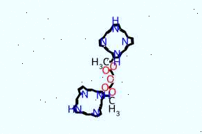 CC(OC(=O)COCC(=O)OC(C)c1cc2cc3nc(cc4ccc(cc5nc(cc1[nH]2)C=C5)[nH]4)C=C3)c1cc2cc3nc(cc4ccc(cc5nc(cc1[nH]2)C=C5)[nH]4)C=C3